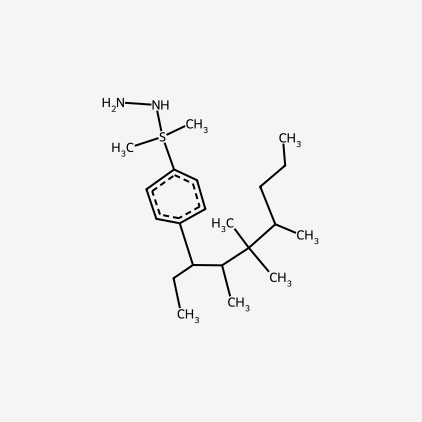 CCCC(C)C(C)(C)C(C)C(CC)c1ccc(S(C)(C)NN)cc1